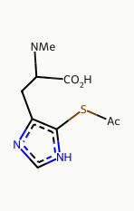 CNC(Cc1nc[nH]c1SC(C)=O)C(=O)O